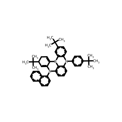 CC(C)(C)c1ccc(N2c3ccc(C(C)(C)C)cc3B3C4=CCC(C(C)(C)C)C=C4N(c4cccc5ccccc45)c4cccc2c43)cc1